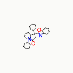 c1ccc(C(Cc2nc3ccccc3o2)(c2ccccc2)c2nc3ccccc3o2)cc1